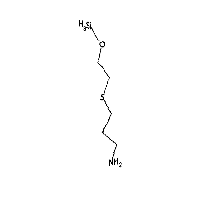 NCCCSCCO[SiH3]